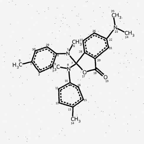 Cc1ccc(N(C)C2(N(C)c3ccc(C)cc3)OC(=O)c3cc(N(C)C)ccc32)cc1